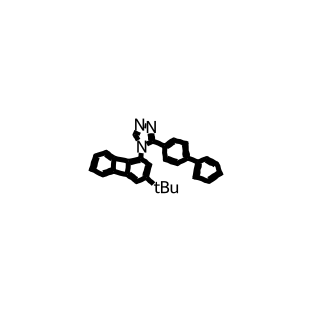 CC(C)(C)c1cc2c(c(-n3cnnc3-c3ccc(-c4ccccc4)cc3)c1)-c1ccccc1-2